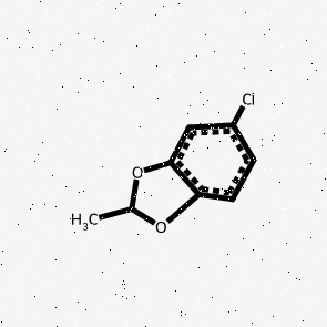 CC1Oc2ccc(Cl)cc2O1